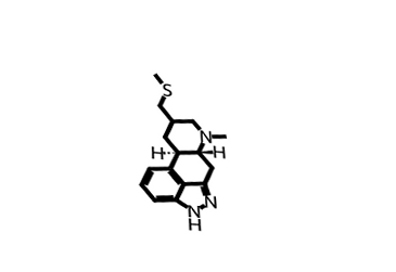 CSCC1C[C@@H]2c3cccc4[nH]nc(c34)C[C@H]2N(C)C1